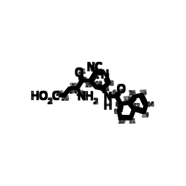 N#Cc1ncc(NC(=O)c2cccc3ccccc23)cc1C(=O)[C@@H](N)CCC(=O)O